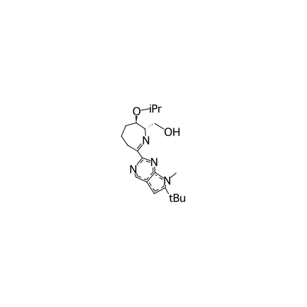 CC(C)O[C@@H]1CCCC(c2ncc3cc(C(C)(C)C)n(C)c3n2)=N[C@H]1CO